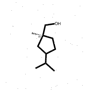 CC(C)C1CC[C@](C)(CO)C1